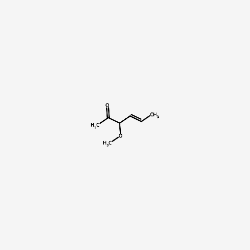 CC=CC(OC)C(C)=O